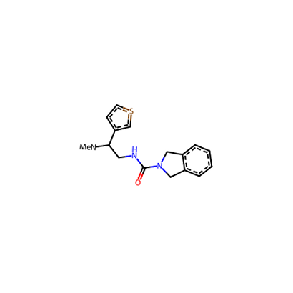 CNC(CNC(=O)N1Cc2ccccc2C1)c1ccsc1